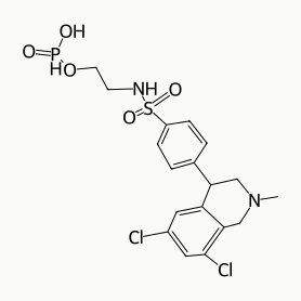 CN1Cc2c(Cl)cc(Cl)cc2C(c2ccc(S(=O)(=O)NCCO[PH](=O)O)cc2)C1